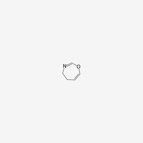 C1=COC=NCC1